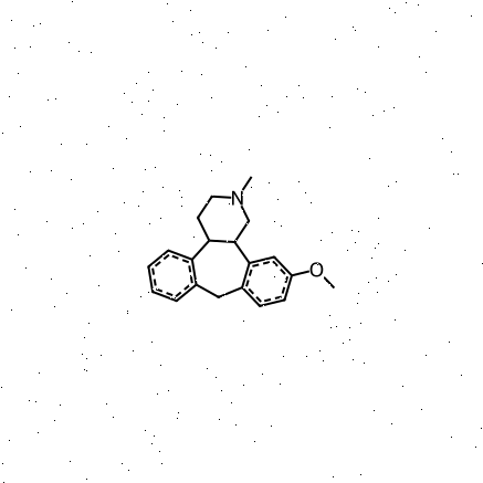 COc1ccc2c(c1)C1CN(C)CCC1c1ccccc1C2